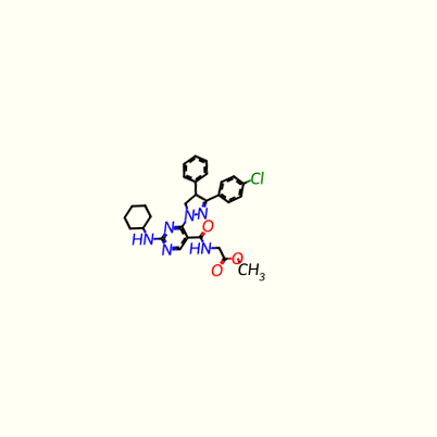 COC(=O)CNC(=O)c1cnc(NC2CCCCC2)nc1N1CC(c2ccccc2)C(c2ccc(Cl)cc2)=N1